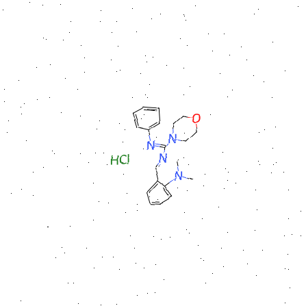 CN(C)c1ccccc1C=NC(=Nc1ccccc1)N1CCOCC1.Cl